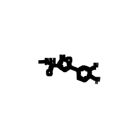 CNC(=O)c1cc(-c2ccc(F)c(F)c2)on1